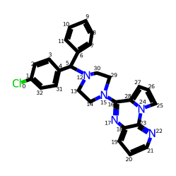 Clc1ccc(C(c2ccccc2)N2CCN(c3nc4cccnc4n4cccc34)CC2)cc1